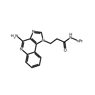 CCCNC(=O)CCn1cnc2c(N)nc3ccccc3c21